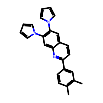 Cc1ccc(-c2ccc3cc(-n4cccc4)c(-n4cccc4)cc3n2)cc1C